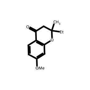 CCC1(C)CC(=O)c2ccc(OC)cc2O1